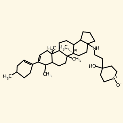 CC1CC=C(C2=CCC3(C)C(CCC4(C)C3CCC3C5CCCC5(NCCC5(O)CC[S+]([O-])CC5)CC[C@]34C)C2C)CC1